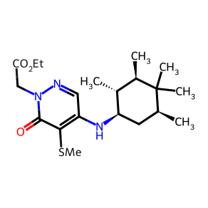 CCOC(=O)Cn1ncc(N[C@@H]2C[C@H](C)C(C)(C)[C@H](C)[C@H]2C)c(SC)c1=O